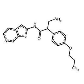 CCCOc1ccc(C(CN)C(=O)Nc2cc3ccncc3s2)cc1